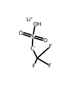 O=S(=O)(O)[CH-]C(F)(F)F.[Li+]